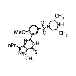 CCCc1nn(C)c2c(=S)[nH]c(-c3cc(S(=O)(=O)N4C[C@@H](C)N[C@@H](C)C4)ccc3OC)nc12